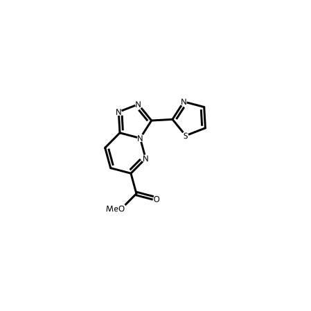 COC(=O)c1ccc2nnc(-c3nccs3)n2n1